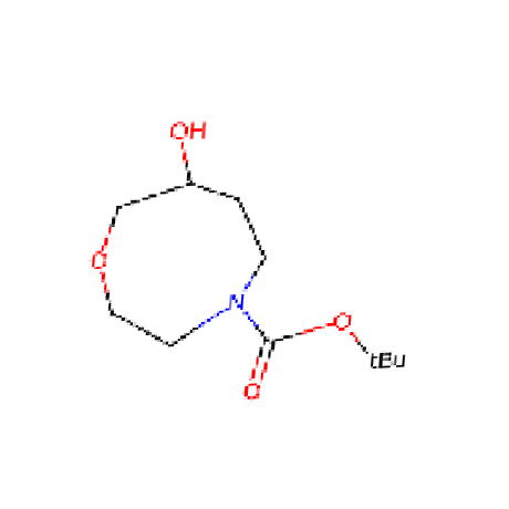 CC(C)(C)OC(=O)N1CCOCC(O)CC1